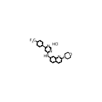 Cl.FC(F)(F)c1ccc(-c2cc(Nc3ccc4ccc(N5CCOCC5)nc4c3)ncn2)cc1